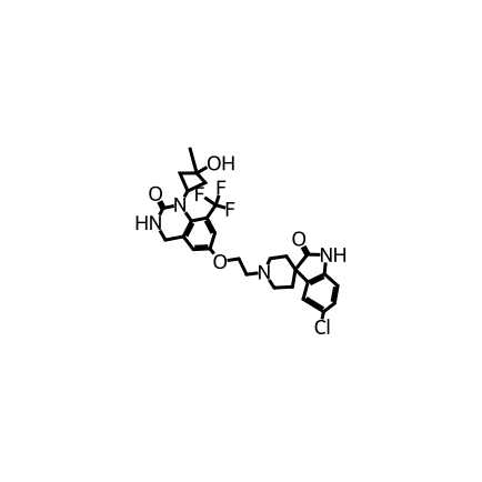 CC1(O)CC(N2C(=O)NCc3cc(OCCN4CCC5(CC4)C(=O)Nc4ccc(Cl)cc45)cc(C(F)(F)F)c32)C1